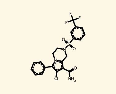 NC(=O)c1c(Cl)c(-c2ccccc2)n2c1CN(S(=O)(=O)c1cccc(C(F)(F)F)c1)CC2